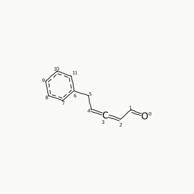 O=CC=C=CCc1ccccc1